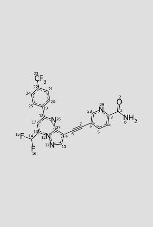 NC(=O)c1ccc(C#Cc2cnn3c(C(F)F)cc(-c4ccc(C(F)(F)F)cc4)nc23)cn1